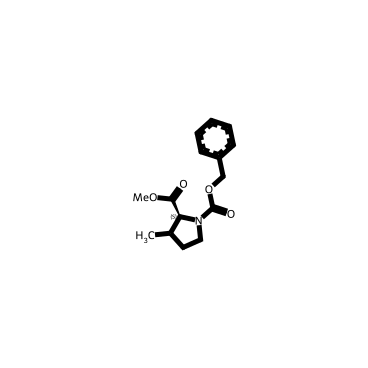 COC(=O)[C@@H]1C(C)CCN1C(=O)OCc1ccccc1